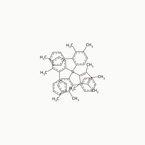 CC1=C(C)C(C)C([Si](c2ccc(C)c(C)c2-c2ccccc2)(c2ccc(C)c(C)c2-c2ccccc2)c2ccc(C)c(C)c2-c2ccccc2)=C1C